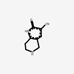 N#Cc1cc2c([nH]c1=O)CCNC2